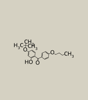 CCCCOc1ccc(C(=O)c2ccc(OC(C)(C)C)cc2O)cc1